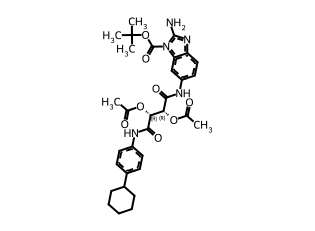 CC(=O)O[C@@H](C(=O)Nc1ccc(C2CCCCC2)cc1)[C@@H](OC(C)=O)C(=O)Nc1ccc2nc(N)n(C(=O)OC(C)(C)C)c2c1